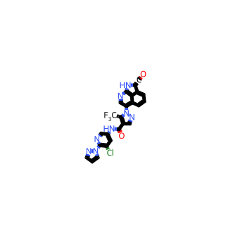 O=C=c1[nH]c2ncc(-n3ncc(C(=O)Nc4cnc(-n5cccn5)c(Cl)c4)c3C(F)(F)F)c3cccc1c23